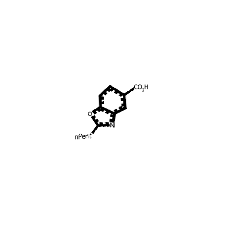 CCCCCc1nc2cc(C(=O)O)ccc2o1